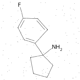 NC1(c2ccc(F)cc2)CCCC1